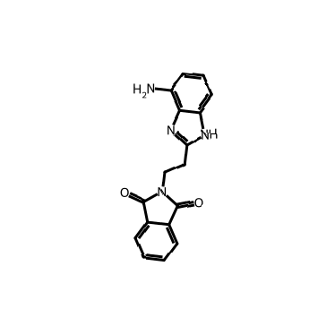 Nc1cccc2[nH]c(CCN3C(=O)c4ccccc4C3=O)nc12